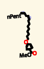 CCCCC/C=C\C/C=C\CCCCCCCCOc1ccc(C(=O)OC)cc1